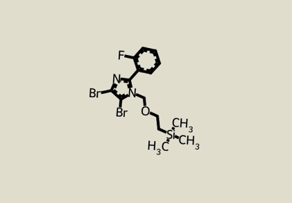 C[Si](C)(C)CCOCn1c(-c2ccccc2F)nc(Br)c1Br